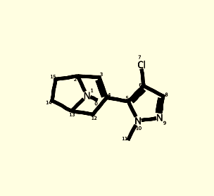 CN1C2C=C(c3c(Cl)cnn3C)CC1CC2